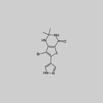 CC1(C)NC(=O)c2sc(-c3cn[nH]c3)c(Br)c2N1